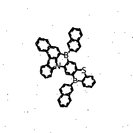 c1ccc2c(c1)Sc1cc3c(cc1B2c1ccc2ccccc2c1)-n1c2ccccc2c2c4ccccc4cc(c21)B3c1ccc2ccccc2c1